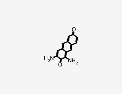 NC1=Cc2cc3c(cc2=C(N)C1=O)C=CC(=O)C=3